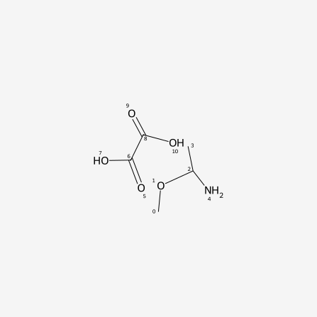 COC(C)N.O=C(O)C(=O)O